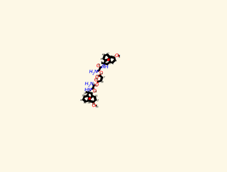 COc1ccc(CC(C)(NC(=O)C(N)OC(=O)/C=C\C(=O)OC(N)C(=O)NC(C)(Cc2ccc(OC)cc2)c2ccccc2)c2ccccc2)cc1